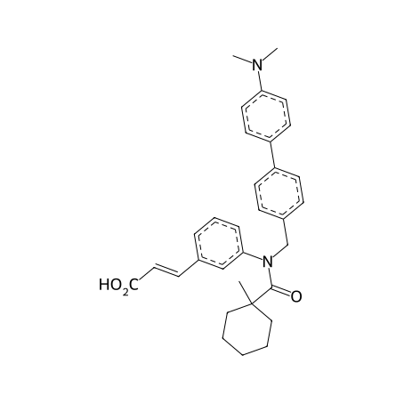 CN(C)c1ccc(-c2ccc(CN(C(=O)C3(C)CCCCC3)c3cccc(C=CC(=O)O)c3)cc2)cc1